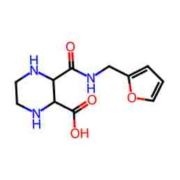 O=C(O)C1NCCNC1C(=O)NCc1ccco1